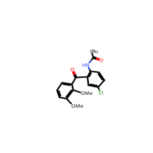 COc1cccc(C(=O)c2cc(Cl)ccc2NC(=O)C(C)(C)C)c1OC